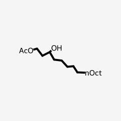 CCCCCCCCCCCCCC(O)CCOC(C)=O